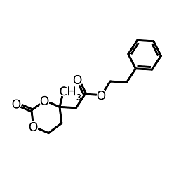 CC1(CC(=O)OCCc2ccccc2)CCOC(=O)O1